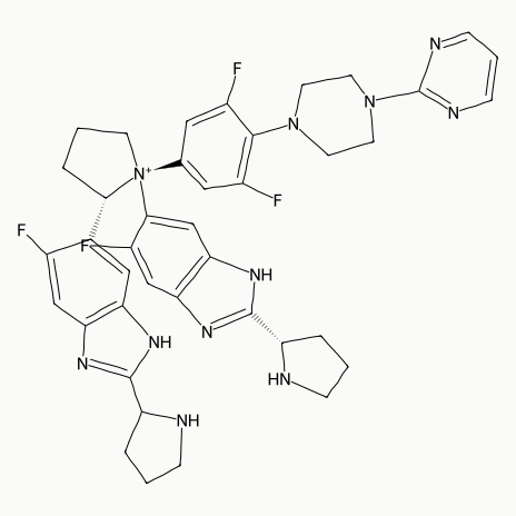 Fc1cc2nc(C3CCCN3)[nH]c2cc1[C@@H]1CCC[N@+]1(c1cc(F)c(N2CCN(c3ncccn3)CC2)c(F)c1)c1cc2[nH]c([C@@H]3CCCN3)nc2cc1F